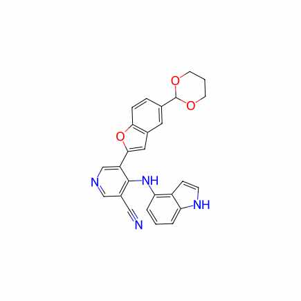 N#Cc1cncc(-c2cc3cc(C4OCCCO4)ccc3o2)c1Nc1cccc2[nH]ccc12